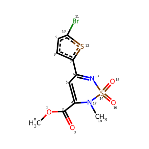 COC(=O)C1=CC(c2ccc(Br)s2)=NS(=O)(=O)N1C